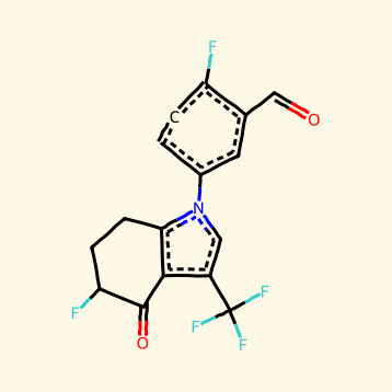 O=Cc1cc(-n2cc(C(F)(F)F)c3c2CCC(F)C3=O)ccc1F